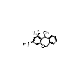 Cc1cc(C)c2c(c1)OCc1ccccc1C2C#N